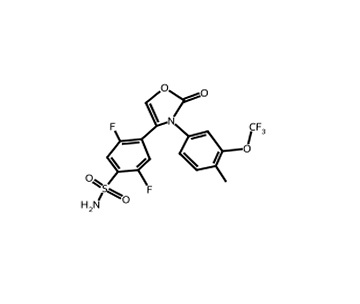 Cc1ccc(-n2c(-c3cc(F)c(S(N)(=O)=O)cc3F)coc2=O)cc1OC(F)(F)F